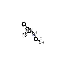 O=C(O)c1cccc(/C=N/Nc2cc(N3CCOCC3)n3nc(-c4ccccc4)cc3n2)c1